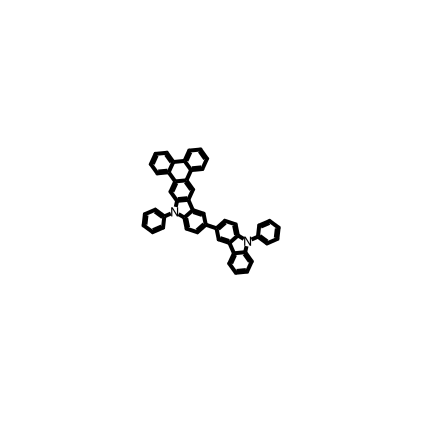 c1ccc(-n2c3ccccc3c3cc(-c4ccc5c(c4)c4cc6c7ccccc7c7ccccc7c6cc4n5-c4ccccc4)ccc32)cc1